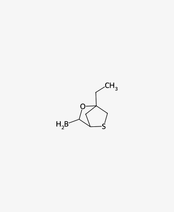 BC1OC2(CC)CSC1C2